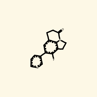 O=C1CCc2cc(-c3cccnc3)c(F)c3c2N1CC3